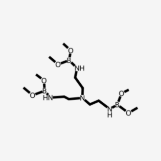 COB(NCCN(CCNB(OC)OC)CCNB(OC)OC)OC